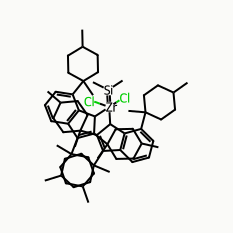 CC1CCC(C)(C2=C(C3(C)CCC(C)CC3)[CH]([Zr]([Cl])([Cl])([CH]3C(C4(C)CCC(C)CC4)=C(C4(C)CCC(C)CC4)c4cccc(C5(C)CCC(C)CC5)c43)=[Si](C)C)c3c2cccc3C2(C)CCC(C)CC2)CC1